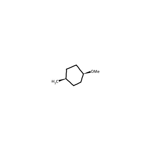 [CH2][C@H]1CC[C@@H](OC)CC1